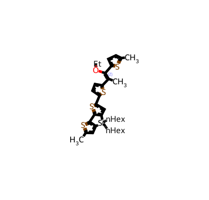 CCCCCC[Si]1(CCCCCC)c2cc(C)sc2-c2sc(-c3ccc(/C(C)=C(\OCC)c4ccc(C)s4)s3)cc21